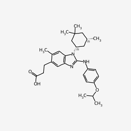 Cc1cc2c(cc1CCC(=O)O)nc(Nc1ccc(OC(C)C)cc1)n2[C@H]1C[C@@H](C)CC(C)(C)C1